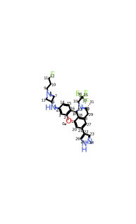 COc1cc(NC2CN(CCCF)C2)ccc1[C@@H]1c2ccc(-c3cn[nH]c3)cc2C[C@@H](C)N1CC(F)(F)F